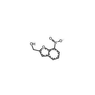 O=[N+]([O-])c1cccc2cc(CO)oc12